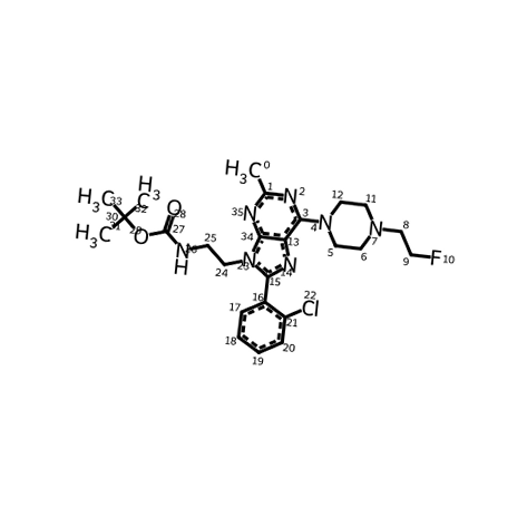 Cc1nc(N2CCN(CCF)CC2)c2nc(-c3ccccc3Cl)n(CCNC(=O)OC(C)(C)C)c2n1